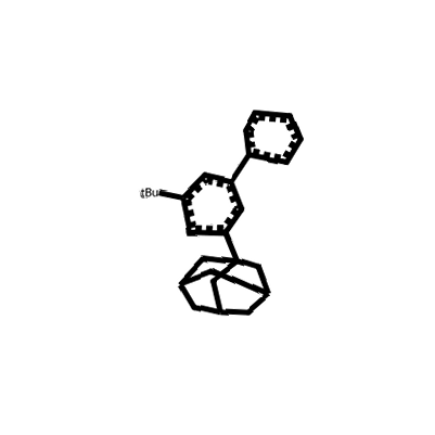 CC(C)(C)c1cc(-c2ccccc2)cc(C23CC4CC(CC(C4)C2)C3)c1